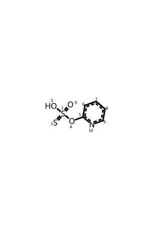 O=S(O)(=S)Oc1ccccn1